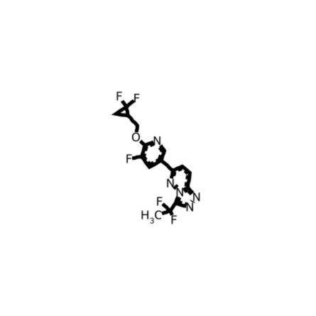 CC(F)(F)c1nnc2ccc(-c3cnc(OCC4CC4(F)F)c(F)c3)nn12